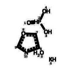 O.O=[PH](O)O.[KH].c1cocn1